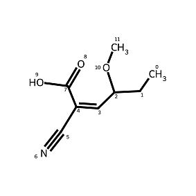 CCC(C=C(C#N)C(=O)O)OC